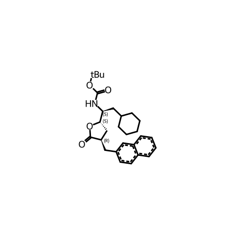 CC(C)(C)OC(=O)N[C@@H](CC1CCCCC1)[C@@H]1C[C@@H](Cc2ccc3ccccc3c2)C(=O)O1